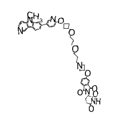 Cn1c2ccncc2c2ccc(-c3ccc(OC4CC(OCCCOCCCN5CC(Oc6ccc7c(c6)C(=O)N(C6CCC(=O)NC6=O)C7=O)C5)C4)nc3)cc21